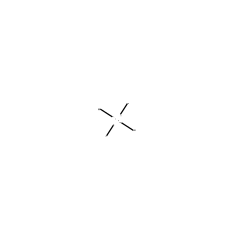 I[N+](I)(I)I